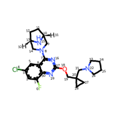 Fc1cc(Cl)cc2c(N3C[C@H]4CC[C@@H](C3)N4)nc(OCC3(CN4CCCC4)CC3)nc12